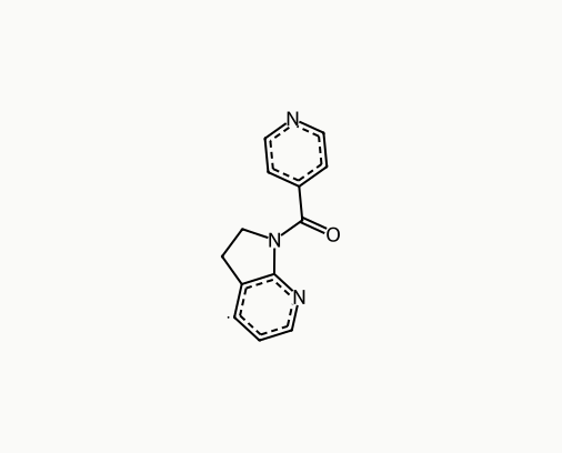 O=C(c1ccncc1)N1CCc2[c]ccnc21